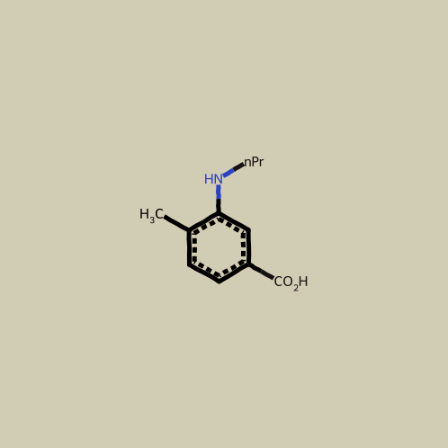 CCCNc1cc(C(=O)O)ccc1C